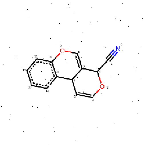 N#CC1OC=CC2C1=COc1ccccc12